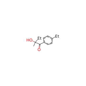 CCc1ccc(C(=O)C(C)(O)CC)cc1